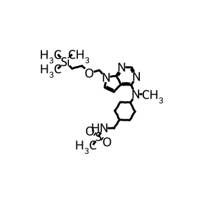 CN(c1ncnc2c1ccn2COCC[Si](C)(C)C)C1CCC(CNS(C)(=O)=O)CC1